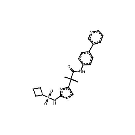 CC(C)(C(=O)Nc1ccc(-c2cccnc2)cc1)c1csc(NS(=O)(=O)C2CCC2)n1